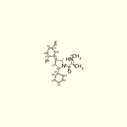 CN[C@@H](C)C(=O)N1CC(c2cc(F)ccc2F)=CC1c1ccccc1